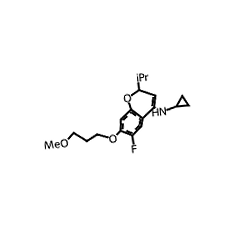 COCCCOc1cc2c(cc1F)C(NC1CC1)=CC(C(C)C)O2